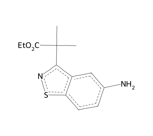 CCOC(=O)C(C)(C)c1nsc2ccc(N)cc12